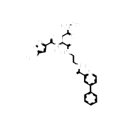 Cc1cc(C(=O)N[C@@H](CC(=O)NC(C)(C)C)C(=O)NCCNC(=O)c2cc(-c3ccccc3)ccn2)no1